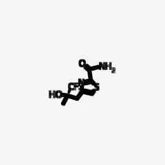 C[C@@](O)(Cc1csc(C(N)=O)n1)C(F)(F)F